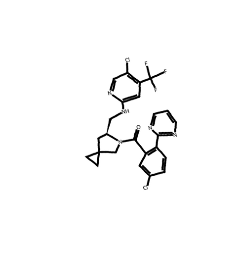 O=C(c1cc(Cl)ccc1-c1ncccn1)N1CC2(CC2)C[C@H]1CNc1cc(C(F)(F)F)c(Cl)cn1